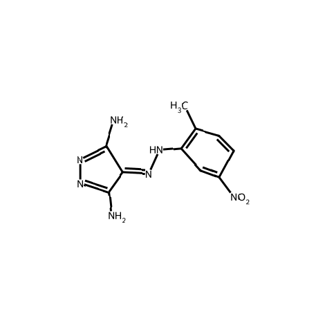 Cc1ccc([N+](=O)[O-])cc1NN=C1C(N)=NN=C1N